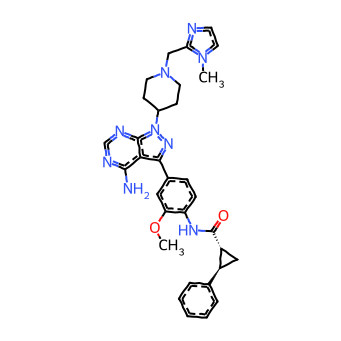 COc1cc(-c2nn(C3CCN(Cc4nccn4C)CC3)c3ncnc(N)c23)ccc1NC(=O)[C@@H]1C[C@H]1c1ccccc1